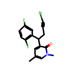 Cc1cc(C(CC#CBr)c2cc(F)ccc2F)c(=O)n(C)c1